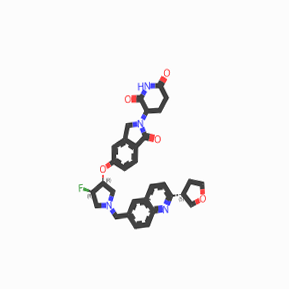 O=C1CCC(N2Cc3cc(O[C@@H]4CN(Cc5ccc6nc([C@@H]7CCOC7)ccc6c5)C[C@H]4F)ccc3C2=O)C(=O)N1